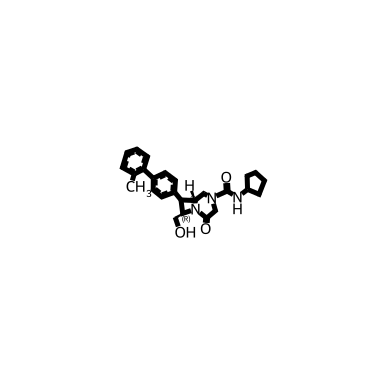 Cc1ccccc1-c1ccc(C2[C@H](CO)N3C(=O)CN(C(=O)NC4CCCC4)C[C@@H]23)cc1